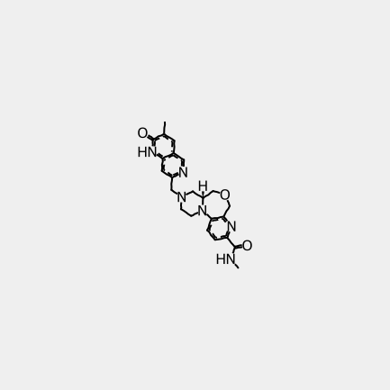 CNC(=O)c1ccc2c(n1)COC[C@H]1CN(Cc3cc4[nH]c(=O)c(C)cc4cn3)CCN21